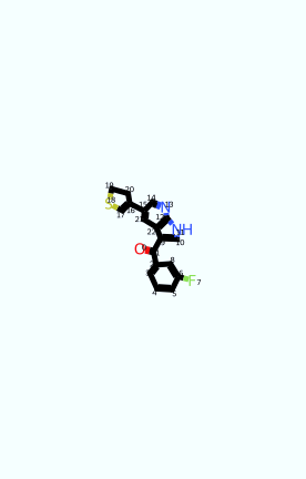 O=C(c1cccc(F)c1)c1c[nH]c2ncc(C3=CSCC3)cc12